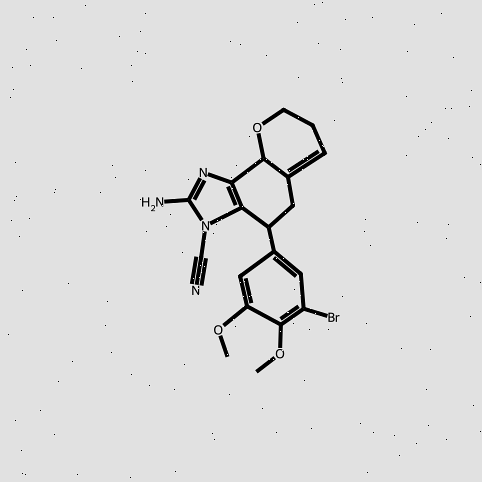 COc1cc(C2CC3=CCCOC3c3nc(N)n(C#N)c32)cc(Br)c1OC